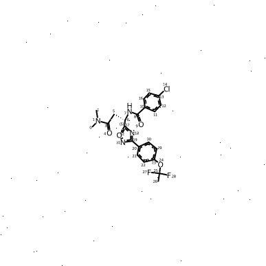 CN(C)C(=O)C[C@H](NC(=O)c1ccc(Cl)cc1)c1nc(-c2ccc(OC(C)(F)F)cc2)no1